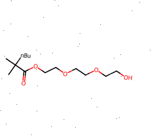 CCCCC(C)(C)C(=O)OCCOCCOCCO